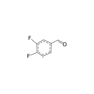 O=Cc1c[c]c(F)c(F)c1